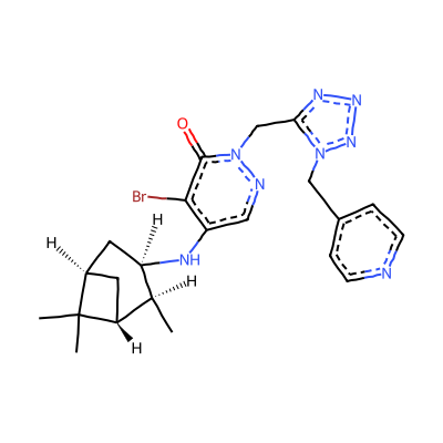 C[C@H]1[C@H]2C[C@H](C[C@H]1Nc1cnn(Cc3nnnn3Cc3ccncc3)c(=O)c1Br)C2(C)C